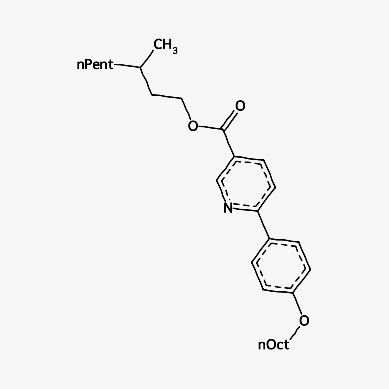 CCCCCCCCOc1ccc(-c2ccc(C(=O)OCCC(C)CCCCC)cn2)cc1